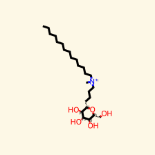 CCCCCCCCCCCCCC[N+](C)(C)CCCC[C@@H]1O[C@H](CO)[C@@H](O)[C@H](O)[C@H]1O